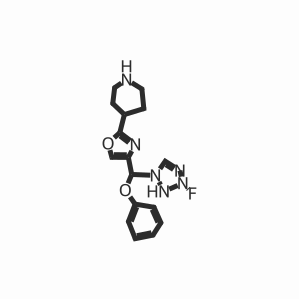 FN1N=CN(C(Oc2ccccc2)c2coc(C3CCNCC3)n2)N1